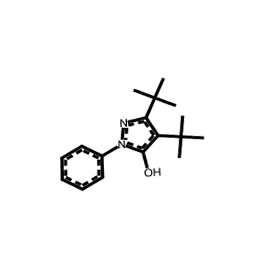 CC(C)(C)c1nn(-c2ccccc2)c(O)c1C(C)(C)C